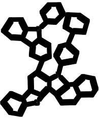 c1ccc(-c2ccc(-n3c4c(-c5ccc6c(c5)c5ccccc5n6-c5ccccc5)cc5c6ccccc6oc5c4c4ccc5ccccc5c43)cc2)cc1